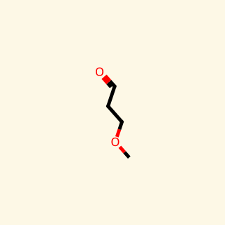 COCCC=O